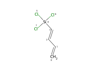 C=C/C=C/[Si](Cl)(Cl)Cl